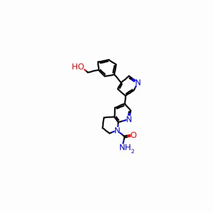 NC(=O)N1CCCc2cc(-c3cncc(-c4cccc(CO)c4)c3)cnc21